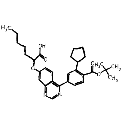 CCCCCC(Oc1ccc2c(-c3ccc(C(=O)OC(C)(C)C)c(C4CCCC4)c3)ncnc2c1)C(=O)O